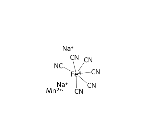 N#[C][Fe-4]([C]#N)([C]#N)([C]#N)([C]#N)[C]#N.[Mn+2].[Na+].[Na+]